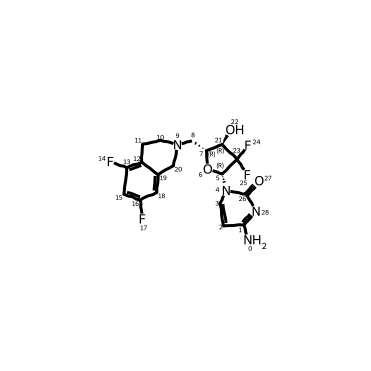 Nc1ccn([C@@H]2O[C@H](CN3CCc4c(F)cc(F)cc4C3)[C@@H](O)C2(F)F)c(=O)n1